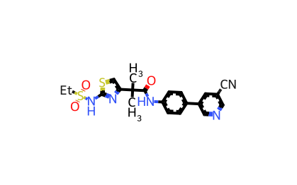 CCS(=O)(=O)Nc1nc(C(C)(C)C(=O)Nc2ccc(-c3cncc(C#N)c3)cc2)cs1